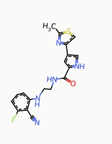 Cc1nc(-c2c[nH]c(C(=O)NCCNc3cccc(F)c3C#N)c2)cs1